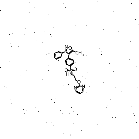 Cc1onc(-c2ccccc2)c1-c1ccc(S(=O)(=O)NCCOc2ncccn2)cc1